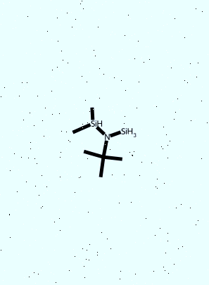 C[SiH](C)N([SiH3])C(C)(C)C